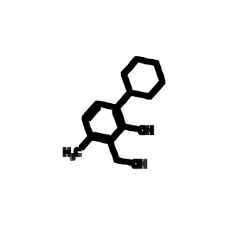 Cc1ccc(C2CCCCC2)c(O)c1CO